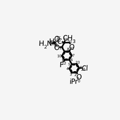 CC(C)Oc1ccc(-c2cc3c(cc2F)C(OC(N)=O)C(C)(C)CO3)cc1Cl